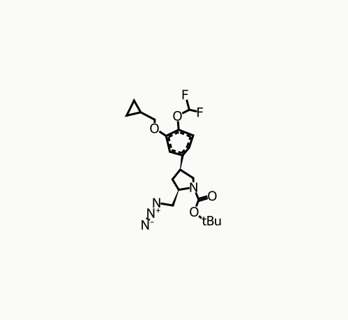 CC(C)(C)OC(=O)N1C[C@H](c2ccc(OC(F)F)c(OCC3CC3)c2)C[C@@H]1CN=[N+]=[N-]